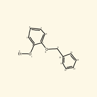 CCOc1c[c]ccc1OCc1ccccc1